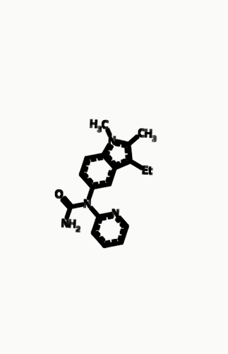 CCc1c(C)n(C)c2ccc(N(C(N)=O)c3ccccn3)cc12